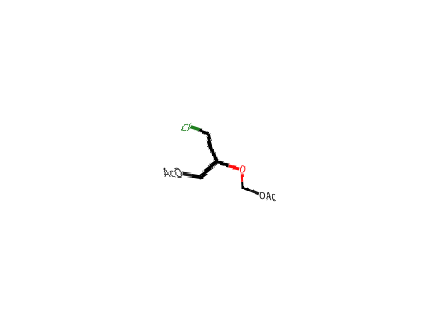 CC(=O)OCOC(CCl)COC(C)=O